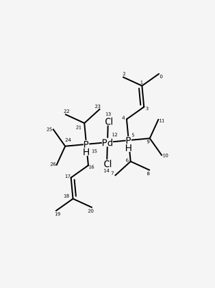 CC(C)=CC[PH](C(C)C)(C(C)C)[Pd]([Cl])([Cl])[PH](CC=C(C)C)(C(C)C)C(C)C